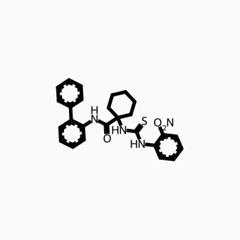 O=C(Nc1ccccc1-c1ccccc1)C1(NC(=S)Nc2ccccc2[N+](=O)[O-])CCCCC1